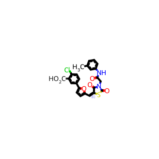 Cc1cccc(NC(=O)CN2C(=O)S/C(=C/c3ccc(-c4ccc(Cl)c(C(=O)O)c4)o3)C2=O)c1